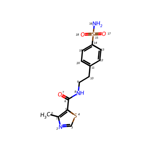 Cc1ncsc1C(=O)NCCc1ccc(S(N)(=O)=O)cc1